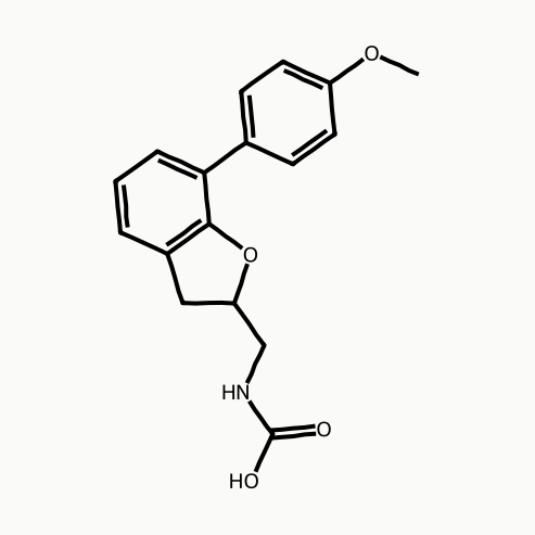 COc1ccc(-c2cccc3c2OC(CNC(=O)O)C3)cc1